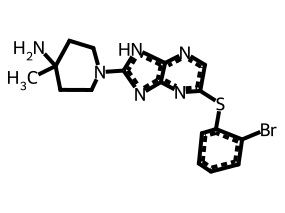 CC1(N)CCN(c2nc3nc(Sc4ccccc4Br)cnc3[nH]2)CC1